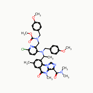 COC(=O)N(Cc1ccc(OC)cc1)Cc1nc(Cl)ccc1N(Cc1ccc(OC)cc1)C(C)c1cc(C)cc2c(=O)n(C)c3c(C(=O)N(C)C)ncn3c12